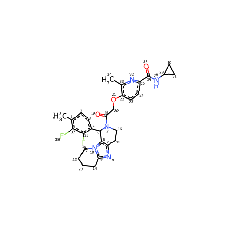 Cc1ccc(C2c3c(nc4n3CCCC4)CCN2C(=O)COc2ccc(C(=O)NC3CC3)nc2C)c(F)c1F